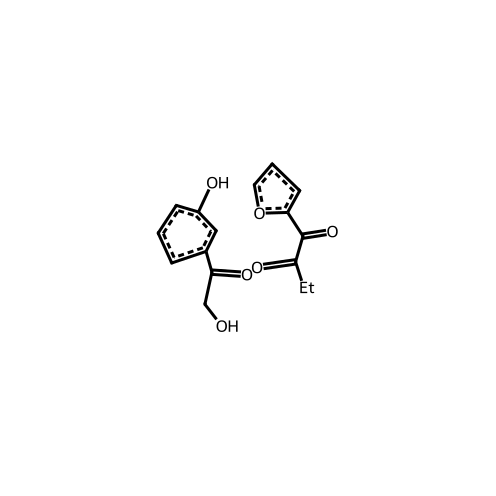 CCC(=O)C(=O)c1ccco1.O=C(CO)c1cccc(O)c1